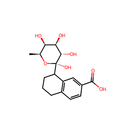 C[C@@H]1O[C@](O)(C2CCCc3ccc(C(=O)O)cc32)[C@@H](O)[C@H](O)[C@@H]1O